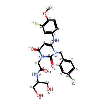 CC(C)Oc1ccc(Nc2cc(=O)n(CC(=O)NC(CO)CO)c(=O)n2Cc2ccc(Cl)cc2)cc1F